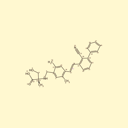 Cc1cc(CN[C@@](C)(CO)C(=O)O)c(C)cc1/C=C/c1cccc(-c2ccccc2)c1C#N